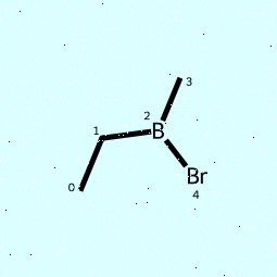 CCB(C)Br